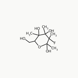 CC1(O)OC(CO)C(C)(O)C(C)(O)C1(C)F